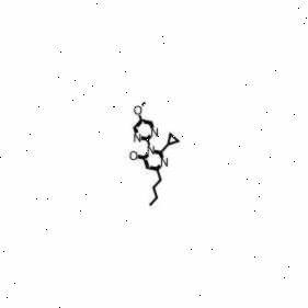 CCCCc1cc(=O)n(-c2ncc(OC)cn2)c(C2CC2)n1